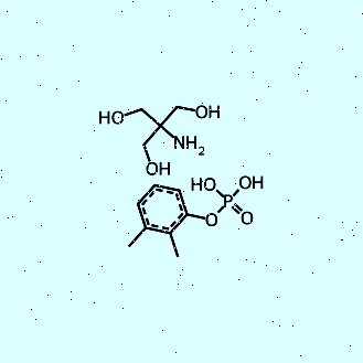 Cc1cccc(OP(=O)(O)O)c1C.NC(CO)(CO)CO